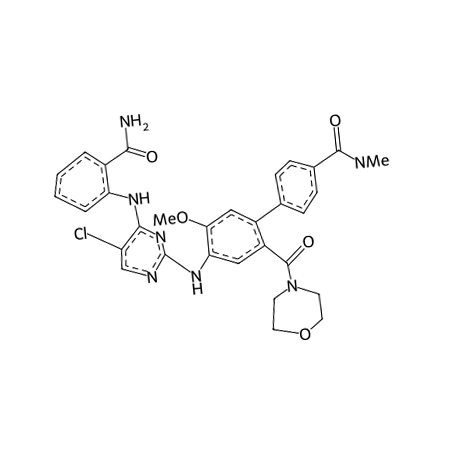 CNC(=O)c1ccc(-c2cc(OC)c(Nc3ncc(Cl)c(Nc4ccccc4C(N)=O)n3)cc2C(=O)N2CCOCC2)cc1